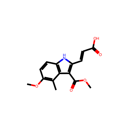 COC(=O)c1c(C=CC(=O)O)[nH]c2ccc(OC)c(C)c12